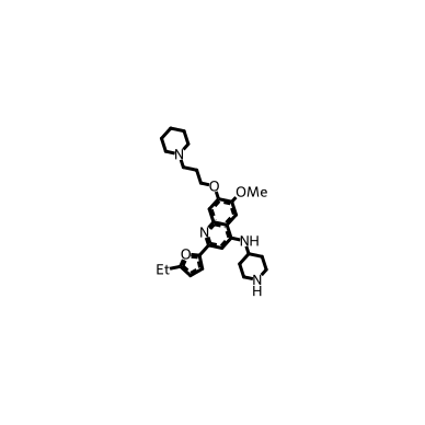 CCc1ccc(-c2cc(NC3CCNCC3)c3cc(OC)c(OCCCN4CCCCC4)cc3n2)o1